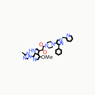 COc1cnc(-n2cnc(C)n2)c2[nH]cc(C(=O)C(=O)N3CCN(c4cn(Cc5ccccn5)nc4-c4ccccc4)CC3)c12